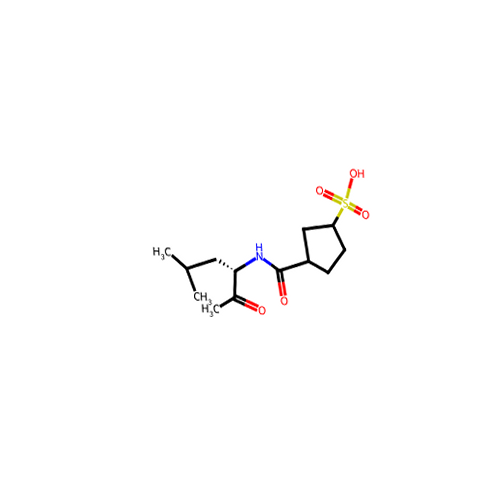 CC(=O)[C@H](CC(C)C)NC(=O)C1CCC(S(=O)(=O)O)C1